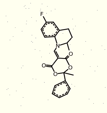 CC1CCc2cc(F)ccc2N1C=C1C(=O)OC(C)(c2ccccc2)OC1=O